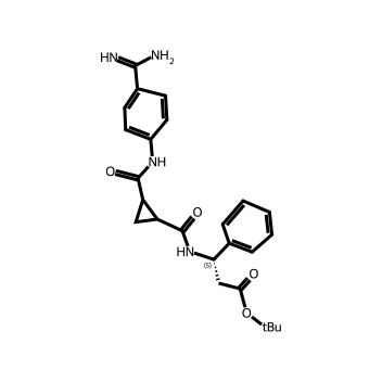 CC(C)(C)OC(=O)C[C@H](NC(=O)C1CC1C(=O)Nc1ccc(C(=N)N)cc1)c1ccccc1